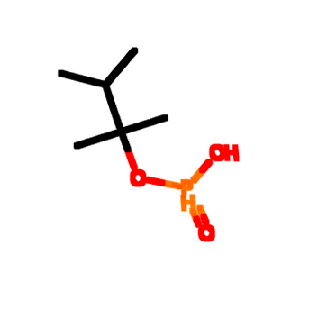 CC(C)C(C)(C)O[PH](=O)O